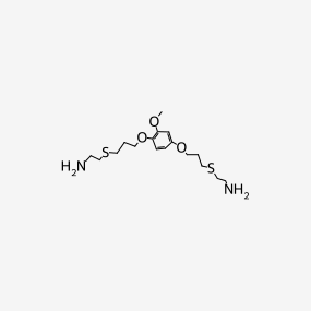 COc1cc(OCCCSCCN)ccc1OCCCSCCN